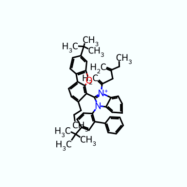 C=C(CC)CC(=C)[n+]1c(-c2c(CCC)ccc3c2oc2cc(C(C)(C)C)ccc23)n(-c2ccc(C(C)(C)C)cc2-c2ccccc2)c2ccccc21